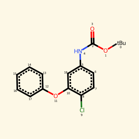 CC(C)(C)OC(=O)Nc1ccc(Cl)c(Oc2ccccc2)c1